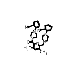 Cc1cc(C)c(C(=O)N2CCN(c3ccccc3C#N)CC2)nc1CN1CCN(c2ccccc2C#N)CC1